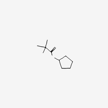 CCC(C)(F)C(=O)OC1CCCC1